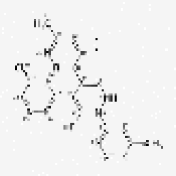 Cc1cnnc(N2N[C]=C(c3ccc(C)nn3)C(c3cc(Cl)cnn3)=C2F)c1